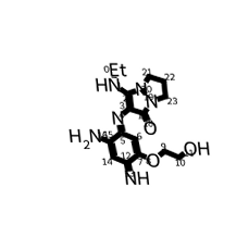 CCNc1c(N=C2C=C(OCCO)C(=N)C=C2N)c(=O)n2n1CCC2